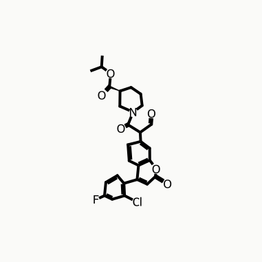 CC(C)OC(=O)[C@H]1CCCN(C(=O)C(C=O)c2ccc3c(-c4ccc(F)cc4Cl)cc(=O)oc3c2)C1